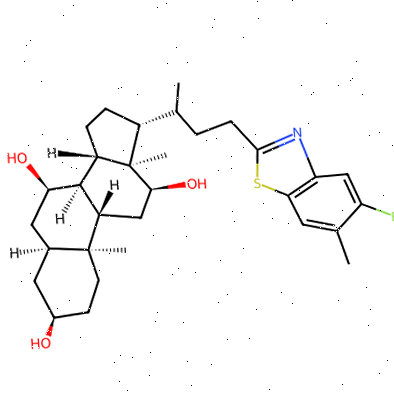 Cc1cc2sc(CCC(C)[C@H]3CC[C@H]4[C@@H]5[C@H](O)C[C@@H]6C[C@H](O)CC[C@]6(C)[C@H]5C[C@H](O)[C@]34C)nc2cc1F